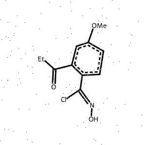 CCC(=O)c1cc(OC)ccc1C(Cl)=NO